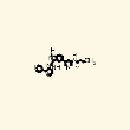 CCCC(=O)Nc1cncc(-c2ccc3[nH]nc(-c4nc5c(-c6ccncc6)nccc5[nH]4)c3c2)c1